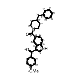 COc1ccc(C(=O)c2c[nH]c3ccc(C(=O)N4CCC(Cc5ccccc5)CC4)cc23)cc1